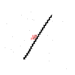 CCCCCC=CCC=CCCCCCCCCC(O)CC(O)CCCCCCCC=CCC=CCCCCC